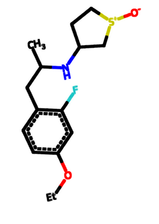 CCOc1ccc(CC(C)NC2CC[S+]([O-])C2)c(F)c1